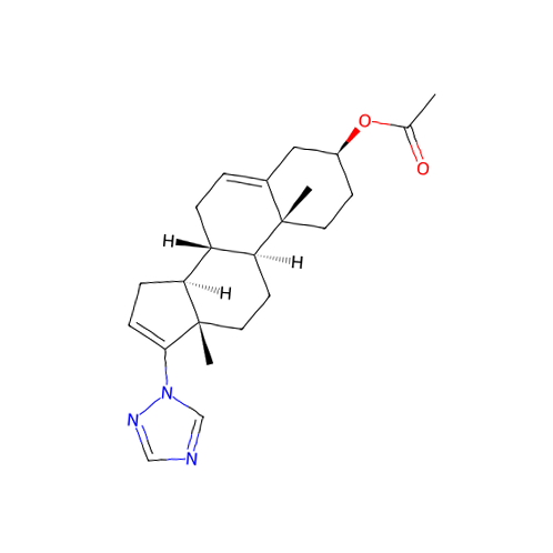 CC(=O)O[C@H]1CC[C@@]2(C)C(=CC[C@@H]3[C@@H]2CC[C@]2(C)C(n4cncn4)=CC[C@@H]32)C1